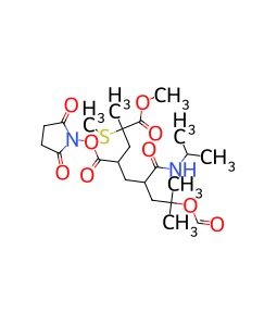 COC(=O)C(C)(CC(CC(CC(C)(C)OC=O)C(=O)NC(C)C)C(=O)ON1C(=O)CCC1=O)SC